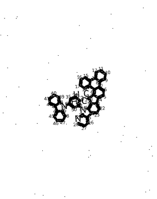 CC1(C)c2c(ccc3c4ccccc4c4ccccc4c23)-c2ccc3c4cccnc4n(-c4cccc(-n5c6ccccc6c6ccccc65)c4)c3c21